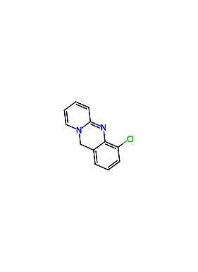 Clc1cccc2c1N=C1C=CC=CN1C2